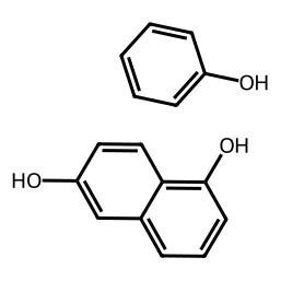 Oc1ccc2c(O)cccc2c1.Oc1ccccc1